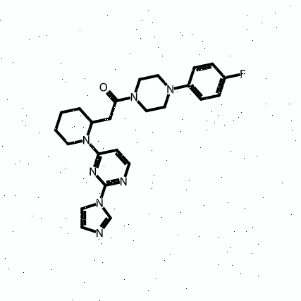 O=C(CC1CCCCN1c1ccnc(-n2ccnc2)n1)N1CCN(c2ccc(F)cc2)CC1